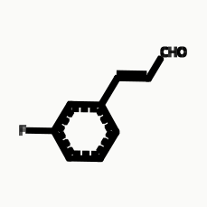 O=CC=Cc1cccc(F)c1